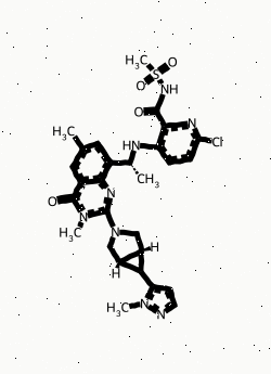 Cc1cc([C@@H](C)Nc2ccc(Cl)nc2C(=O)NS(C)(=O)=O)c2nc(N3C[C@@H]4C(c5ccnn5C)[C@@H]4C3)n(C)c(=O)c2c1